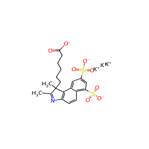 CC1=Nc2ccc3c(S(=O)(=O)[O-])cc(S(=O)(=O)[O-])cc3c2C1(C)CCCCCC(=O)[O-].[K+].[K+].[K+]